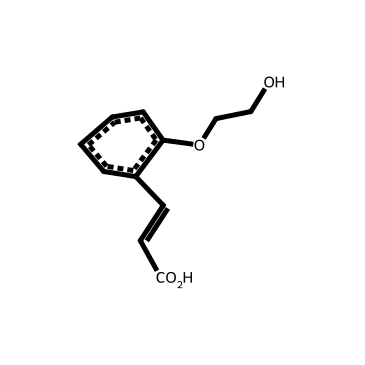 O=C(O)C=Cc1ccccc1OCCO